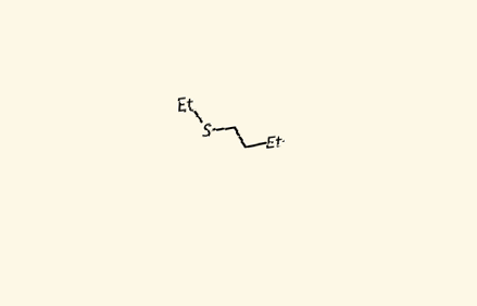 C[CH]CCSCC